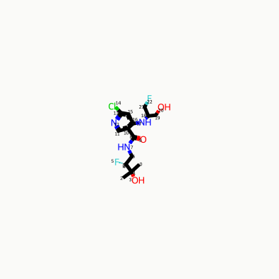 CC(C)(O)[C@H](F)CNC(=O)c1cnc(Cl)cc1NC(CO)CF